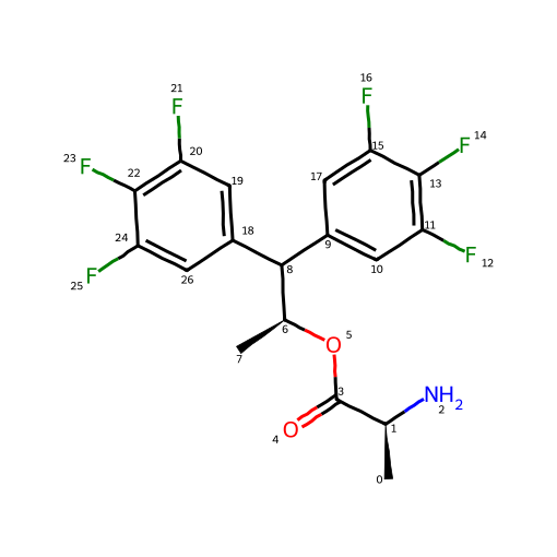 C[C@H](N)C(=O)O[C@@H](C)C(c1cc(F)c(F)c(F)c1)c1cc(F)c(F)c(F)c1